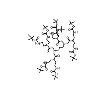 CC(C)(C)OC(=O)NCCN(CCNC(=O)OC(C)(C)C)C(=O)CN(CCCN(CC(=O)N(CCNC(=O)OC(C)(C)C)CCNC(=O)OC(C)(C)C)CC(=O)N(CCNC(=O)OC(C)(C)C)CCNC(=O)OC(C)(C)C)CC(=O)N(CCNC(=O)OC(C)(C)C)CCNC(=O)OC(C)(C)C